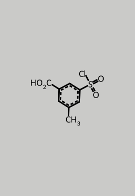 Cc1cc(C(=O)O)cc(S(=O)(=O)Cl)c1